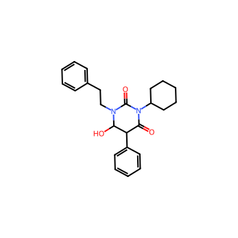 O=C1C(c2ccccc2)C(O)N(CCc2ccccc2)C(=O)N1C1CCCCC1